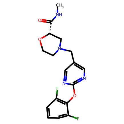 CNC(=O)[C@@H]1CN(Cc2cnc(Oc3c(F)cccc3F)nc2)CCO1